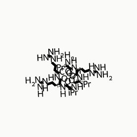 CC(C)[C@H](N)C(=O)N[C@@H](CCCNC(=N)N)C(=O)N[C@H](C(=O)N[C@H](C(=O)N[C@@H](CCCNC(=N)N)C(=O)N[C@@H](CCCNC(=N)N)C(=O)O)C(C)C)C(C)C